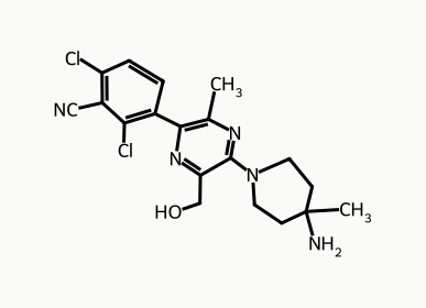 Cc1nc(N2CCC(C)(N)CC2)c(CO)nc1-c1ccc(Cl)c(C#N)c1Cl